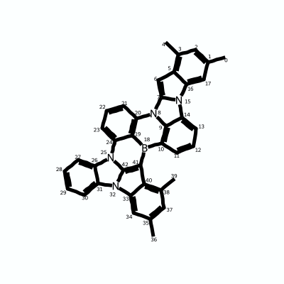 Cc1cc(C)c2cc3n4c5c(cccc5n3c2c1)B1c2c-4cccc2-n2c3ccccc3n3c4cc(C)cc(C)c4c1c23